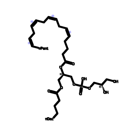 CCCCC/C=C\C/C=C\C/C=C\C/C=C\CCCC(=O)O[C@H](COC(=O)CCCCCCCCCCCCC)COP(=O)(O)OC[C@@H](O)CO